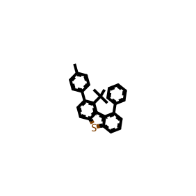 Cc1ccc(-c2ccc3sc4cccc(-c5ccccc5)c4c3c2C(C)(C)C)cc1